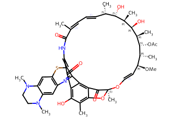 CO[C@H]1/C=C/O[C@@]2(C)Oc3c(C)c(O)c4c(=O)c(c5sc6cc7c(cc6nc-5c4c3C2=O)N(C)CCN7C)NC(=O)/C(C)=C\C=C\[C@H](C)[C@H](O)[C@@H](C)[C@@H](O)[C@@H](C)[C@H](OC(C)=O)[C@@H]1C